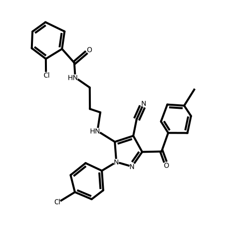 Cc1ccc(C(=O)c2nn(-c3ccc(Cl)cc3)c(NCCCNC(=O)c3ccccc3Cl)c2C#N)cc1